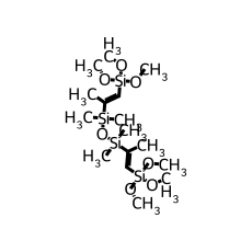 CO[Si](/C=C(\C)[Si](C)(C)O[Si](C)(C)/C(C)=C/[Si](OC)(OC)OC)(OC)OC